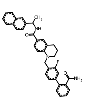 CC(NC(=O)c1ccc2c(c1)CCCN2Cc1ccc(-c2ccccc2C(N)=O)cc1F)c1ccc2ccccc2c1